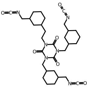 O=C=NCC1CCCC(CCn2c(=O)n(CC3CCCC(CN=C=O)C3)c(=O)n(CC3CCCC(CN=C=O)C3)c2=O)C1